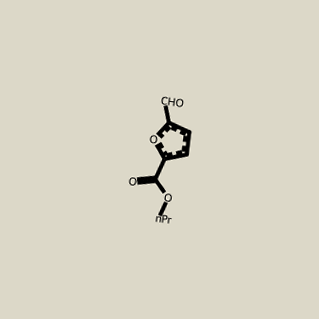 CCCOC(=O)c1ccc(C=O)o1